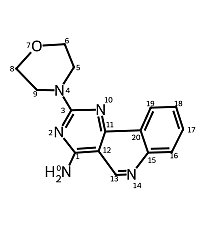 Nc1nc(N2CCOCC2)nc2c1cnc1ccccc12